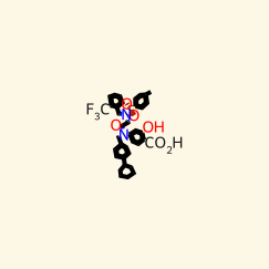 Cc1ccc(S(=O)(=O)N(CC(=O)N(Cc2ccc(C3CCCCC3)cc2)c2ccc(C(=O)O)c(O)c2)Cc2ccccc2C(F)(F)F)cc1